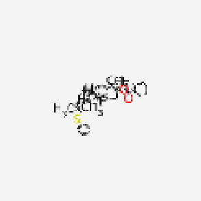 C[C@H](CSc1ccccc1)[C@H]1CC[C@H]2[C@@H]3CC=C4C(C)(C)[C@@H](OC(=O)c5ccccc5)CC[C@]4(C)[C@H]3CC[C@]12C